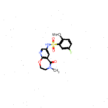 COc1ccc(F)cc1S(=O)(=O)Nc1cnc2c(c1)C(=O)N(C)CCO2